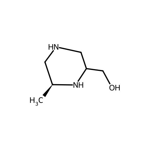 C[C@H]1CNCC(CO)N1